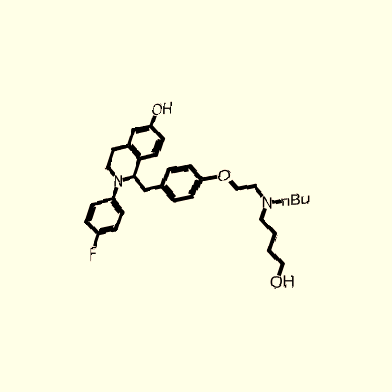 CCCCN(CCCCO)CCOc1ccc(CC2c3ccc(O)cc3CCN2c2ccc(F)cc2)cc1